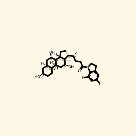 C[C@H](CCC(=O)N1CCc2cc(F)cc(F)c21)[C@H]1CC[C@H]2[C@@H]3[C@H](O)C[C@@H]4C[C@H](O)CC[C@]4(C)[C@H]3C[C@H](O)[C@]12C